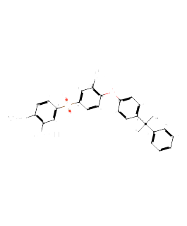 COc1ccc(S(=O)(=O)c2ccc(Oc3ccc(C(C)(C)c4ccccc4)cc3)c(S(=O)(=O)O)c2)cc1S(=O)(=O)O